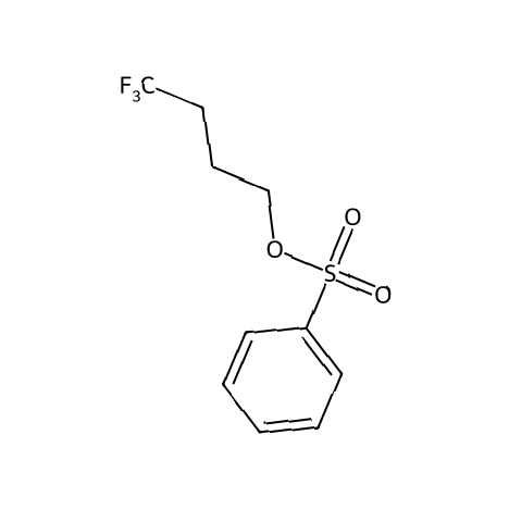 O=S(=O)(OCCCC(F)(F)F)c1ccccc1